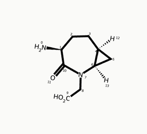 N[C@H]1CC[C@H]2C[C@H]2N(CC(=O)O)C1=O